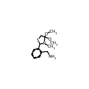 COC1(OC)CSC(c2ccccc2CN)N1C